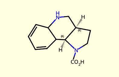 O=C(O)N1CC[C@@H]2CNC3C=CC=CC3[C@@H]21